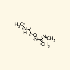 C=N/C(C)=N\OCCNC